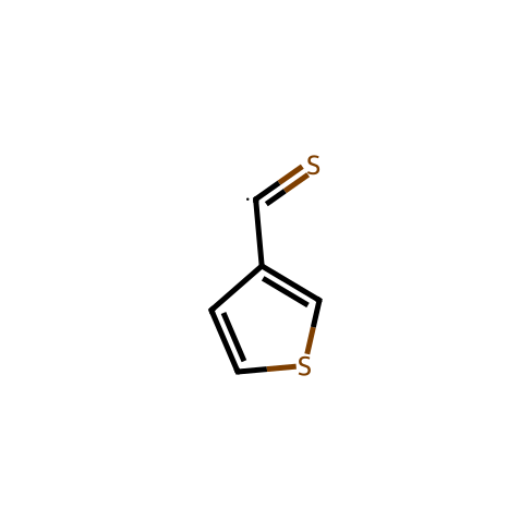 S=[C]c1ccsc1